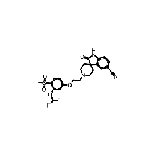 CS(=O)(=O)c1ccc(OCCN2CCC3(CC2)C(=O)Nc2ccc(C#N)cc23)cc1OC(F)F